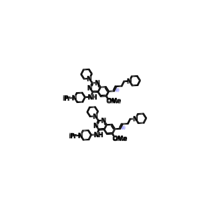 COc1cc2c(NC3CCN(C(C)C)CC3)nc(N3CCCCC3)nc2cc1/C=C/CCN1CCCCC1.COc1cc2c(NC3CCN(C(C)C)CC3)nc(N3CCCCC3)nc2cc1/C=C/CCN1CCCCC1